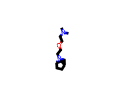 CN(C)CCOCCN1CC2CCC1C2